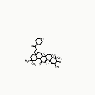 CC1(C)CCC2(CCC(=O)N3CCNCC3)CCC3C(C(=O)C=C4C5(C)C=C(C#N)C(=O)C(C)(C)C5CCC43C)C2C1